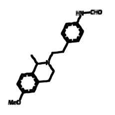 COc1ccc2c(c1)CCN(CCc1ccc(NC=O)cc1)C2C